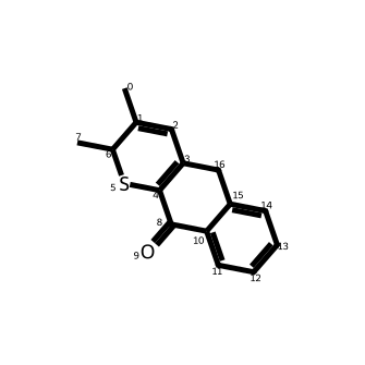 CC1=CC2=C(SC1C)C(=O)c1ccccc1C2